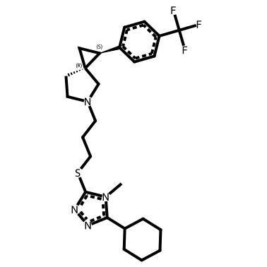 Cn1c(SCCCN2CC[C@@]3(C[C@H]3c3ccc(C(F)(F)F)cc3)C2)nnc1C1CCCCC1